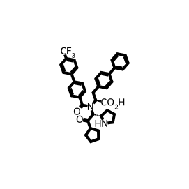 O=C(C1CCCC1)C([C@@H]1CCCN1)N(C(=O)c1ccc(-c2ccc(C(F)(F)F)cc2)cc1)[C@@H](Cc1ccc(-c2ccccc2)cc1)C(=O)O